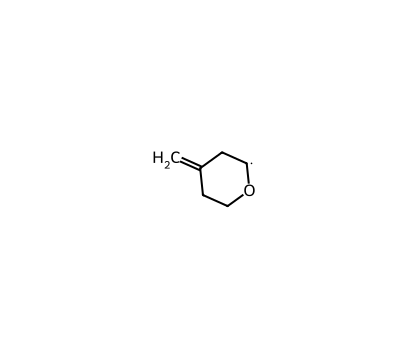 C=C1C[CH]OCC1